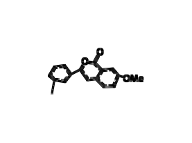 COc1ccc2cc(-c3cccc(C)c3)oc(=O)c2c1